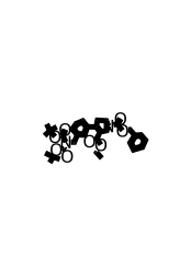 CCOC(=O)C1=C(c2cccc(CN(C(=O)OC(C)(C)C)C(=O)OC(C)(C)C)c2)CCN(C(=O)OCc2ccccc2)C1